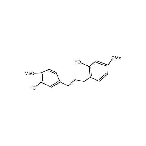 COc1ccc(CCCc2ccc(OC)c(O)c2)c(O)c1